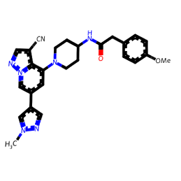 COc1ccc(CC(=O)NC2CCN(c3cc(-c4cnn(C)c4)cn4ncc(C#N)c34)CC2)cc1